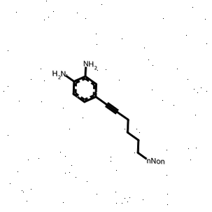 CCCCCCCCCCCCCC#Cc1ccc(N)c(N)c1